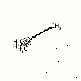 CCCCCCCCCCCCOS(=O)(=O)C(CC)N(C)C